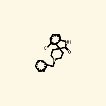 O=C1Nc2cccc(Cl)c2C12CCN(Cc1ccccc1)CC2